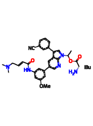 CC[C@H](C)[C@H](N)C(=O)OC(C)n1cc(-c2cccc(C#N)c2)c2cc(-c3cc(NC(=O)/C=C/CN(C)C)cc(OC)c3)cnc21